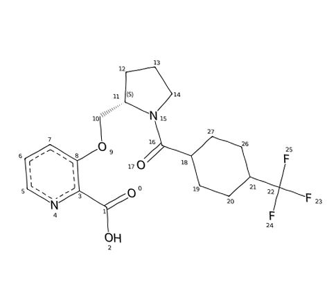 O=C(O)c1ncccc1OC[C@@H]1CCCN1C(=O)C1CCC(C(F)(F)F)CC1